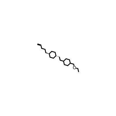 C=CCCC[C@H]1CC[C@H](CCC2CCC(COCC)CC2)CC1